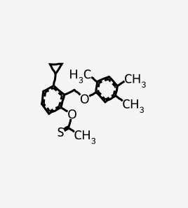 CC(=S)Oc1cccc(C2CC2)c1COc1cc(C)c(C)cc1C